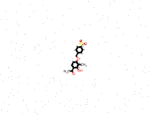 CC(=O)c1ccc(OCc2c[c]c([SH](=O)=O)cc2)c(C)c1O